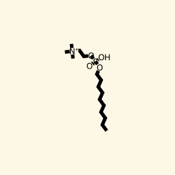 CCCCCCCCCCOP(=O)(O)OCC[N+](C)(C)C